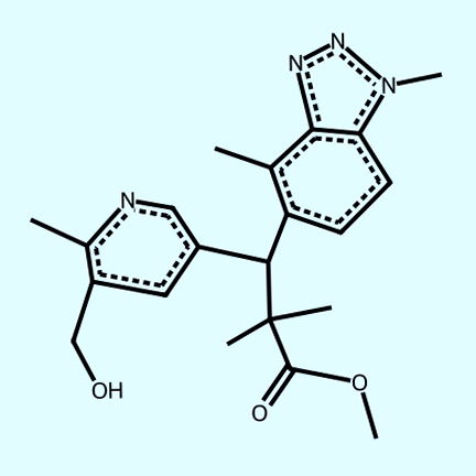 COC(=O)C(C)(C)C(c1cnc(C)c(CO)c1)c1ccc2c(nnn2C)c1C